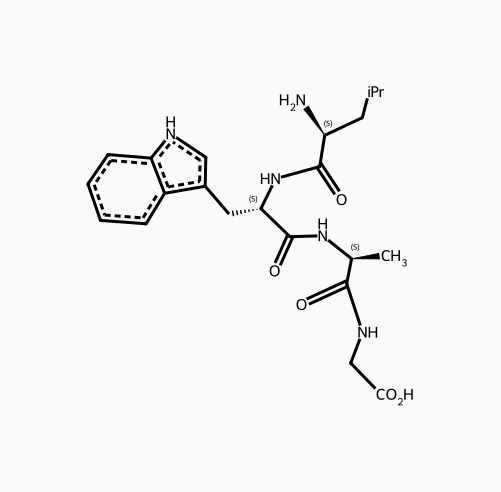 CC(C)C[C@H](N)C(=O)N[C@@H](Cc1c[nH]c2ccccc12)C(=O)N[C@@H](C)C(=O)NCC(=O)O